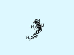 CC[C@H]1CC[C@H](c2ccc(-c3nc(S(=O)(=O)Nc4ccc(C(=O)O)cc4OC)co3)cc2)CC1